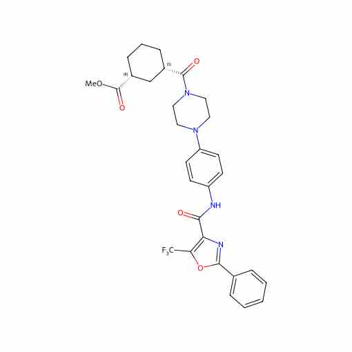 COC(=O)[C@@H]1CCC[C@H](C(=O)N2CCN(c3ccc(NC(=O)c4nc(-c5ccccc5)oc4C(F)(F)F)cc3)CC2)C1